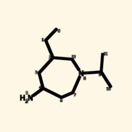 CCC1CC(N)CCN(C(C)C)C1